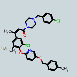 Br.C/C(=C/C(=O)N1CCN(Cc2ccc(Cl)cc2)CC1)c1cc(C)c(Oc2ccc(OCc3ccc(C)cc3)cn2)c(Cl)c1